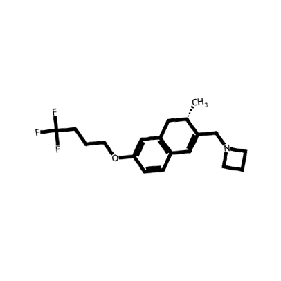 C[C@H]1Cc2cc(OCCCC(F)(F)F)ccc2C=C1CN1CCC1